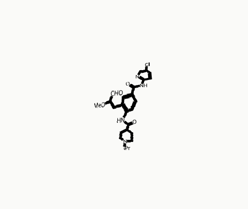 COC(C=O)Cc1cc(C(=O)Nc2ccc(Cl)cn2)ccc1NC(=O)C1CCN(C(C)C)CC1